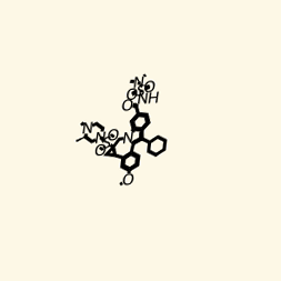 COc1ccc2c(c1)C1CC1(S(=O)(=O)N1CCN(C)[C@H](C)C1)Cn1c-2c(C2CCCCC2)c2ccc(C(=O)NS(=O)(=O)N(C)C)cc21